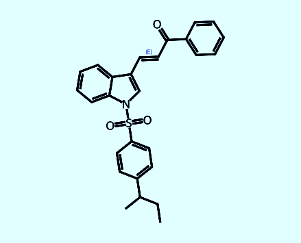 CCC(C)c1ccc(S(=O)(=O)n2cc(/C=C/C(=O)c3ccccc3)c3ccccc32)cc1